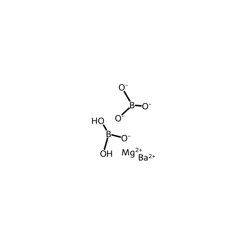 [Ba+2].[Mg+2].[O-]B(O)O.[O-]B([O-])[O-]